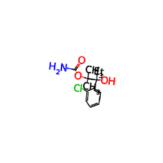 CCC(O)(c1ccccc1Cl)C(C)(C)OC(N)=O